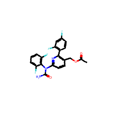 CC(=O)OCc1ccc(N(C(N)=O)c2c(F)cccc2F)nc1-c1ccc(F)cc1F